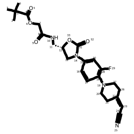 CC(C)(C)C(=O)OCC(=O)NC[C@H]1CN(c2ccc(N3CCC(=CC#N)CC3)c(F)c2)C(=O)O1